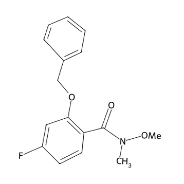 CON(C)C(=O)c1ccc(F)cc1OCc1ccccc1